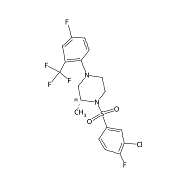 C[C@@H]1CN(c2ccc(F)cc2C(F)(F)F)CCN1S(=O)(=O)c1ccc(F)c(Cl)c1